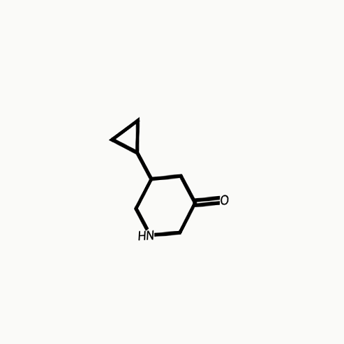 O=C1CNCC(C2CC2)C1